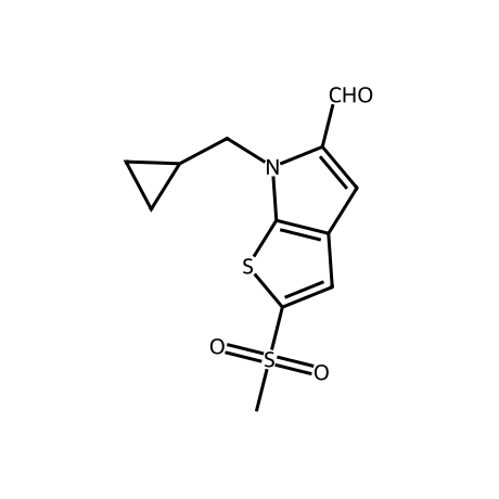 CS(=O)(=O)c1cc2cc(C=O)n(CC3CC3)c2s1